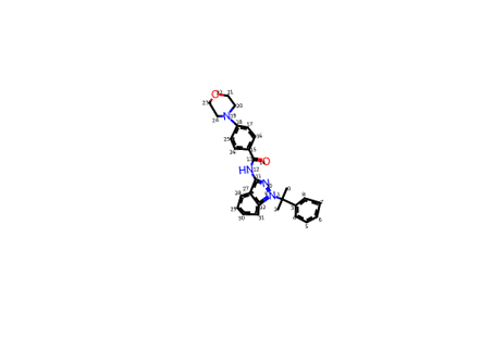 CC(C)(c1ccccc1)n1nc(NC(=O)c2ccc(N3CCOCC3)cc2)c2ccccc21